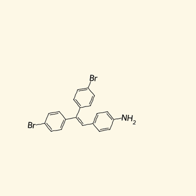 Nc1ccc(C=C(c2ccc(Br)cc2)c2ccc(Br)cc2)cc1